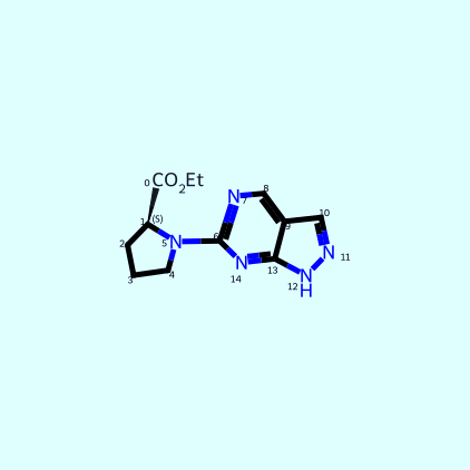 CCOC(=O)[C@@H]1CCCN1c1ncc2cn[nH]c2n1